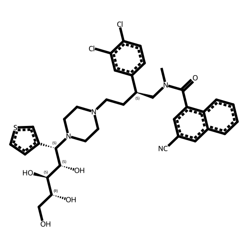 CN(C[C@@H](CCN1CCN([C@@H](c2ccsc2)[C@H](O)[C@H](O)[C@H](O)CO)CC1)c1ccc(Cl)c(Cl)c1)C(=O)c1cc(C#N)cc2ccccc12